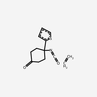 C=C.O=C=NC1(c2cccs2)CCC(=O)CC1